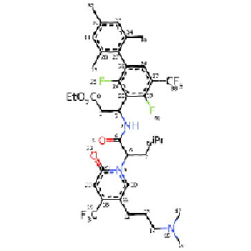 CCOC(=O)CC(NC(=O)C(CC(C)C)n1cc(CCCN(C)C)c(C(F)(F)F)cc1=O)c1c(F)c(-c2c(C)cc(C)cc2C)cc(C(F)(F)F)c1F